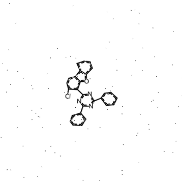 Clc1ccc2c(oc3ccccc32)c1-c1nc(-c2ccccc2)nc(-c2ccccc2)n1